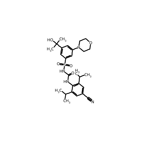 CC(C)c1cc(C#N)cc(C(C)C)c1NC(=O)NS(=O)(=O)c1cc(N2CCOCC2)cc(C(C)(C)O)c1